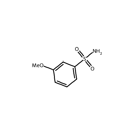 COc1[c]c(S(N)(=O)=O)ccc1